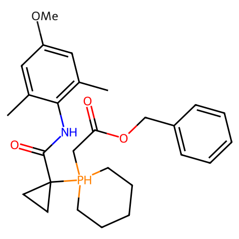 COc1cc(C)c(NC(=O)C2([PH]3(CC(=O)OCc4ccccc4)CCCCC3)CC2)c(C)c1